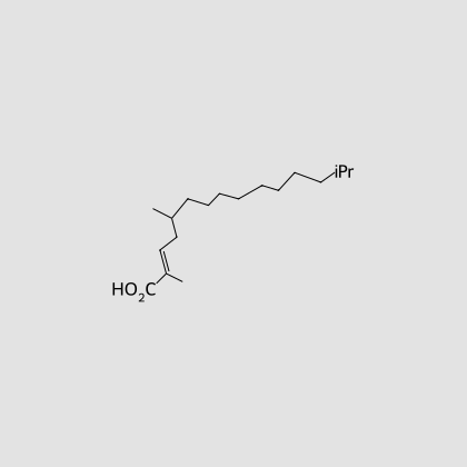 CC(=CCC(C)CCCCCCCCC(C)C)C(=O)O